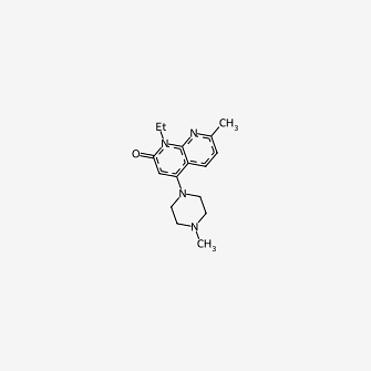 CCn1c(=O)cc(N2CCN(C)CC2)c2ccc(C)nc21